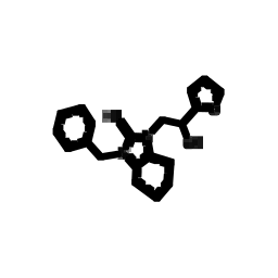 N=c1n(Cc2ccccc2)c2ccccc2n1CC(O)c1ccco1